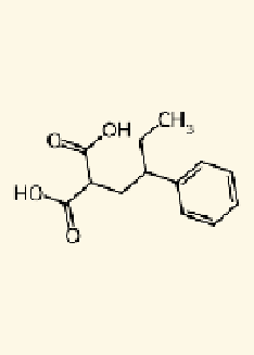 CCC(CC(C(=O)O)C(=O)O)c1ccccc1